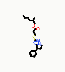 CCCCC(C)COC(=O)CCSc1nc2n(n1)CCC2c1ccccc1